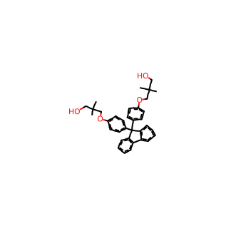 CC(C)(CO)COc1ccc(C2(c3ccc(OCC(C)(C)CO)cc3)c3ccccc3-c3ccccc32)cc1